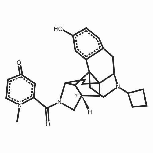 Cn1ccc(=O)cc1C(=O)N1C[C@H]2CC34CCC1C2C31CCN(C2CCC2)C4Cc2ccc(O)cc21